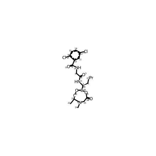 CC(C)C[C@H](NC(=O)CNC(=O)c1cc(Cl)ccc1Cl)B1OCC(C)N(C)CC(=O)O1